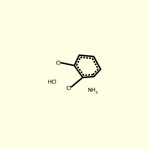 Cl.Clc1ccccc1Cl.N